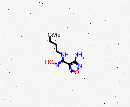 COCCCNC(=NO)c1nonc1N